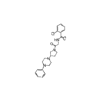 O=C(NCC(=O)N1CCC(N2CCN(c3ccccc3)CC2)C1)c1ccccc1Cl